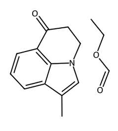 CCOC=O.Cc1cn2c3c(cccc13)C(=O)CC2